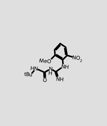 COc1cccc([N+](=O)[O-])c1NC(=N)NC(=O)NC(C)(C)C